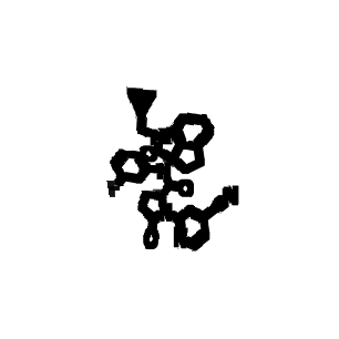 N#Cc1ccnc(N2C(=O)CC[C@H]2C(=O)N(c2cccc(F)c2)[C@@]2(C(=O)NCC3CC3)CCc3ccccc32)c1